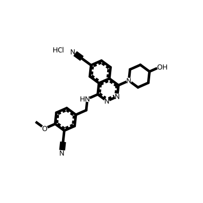 COc1ccc(CNc2nnc(N3CCC(O)CC3)c3ccc(C#N)cc23)cc1C#N.Cl